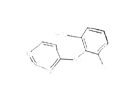 Cc1cccc(Cl)c1Nc1ccncn1